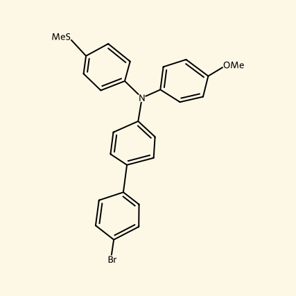 COc1ccc(N(c2ccc(SC)cc2)c2ccc(-c3ccc(Br)cc3)cc2)cc1